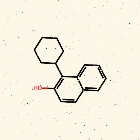 Oc1ccc2ccccc2c1C1CCCCC1